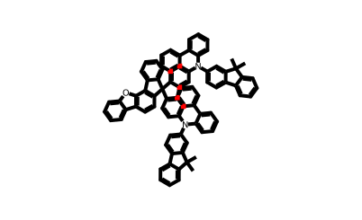 CC1(C)c2ccccc2-c2ccc(N(c3ccc4c(c3)-c3cc(N(c5ccc6c(c5)C(C)(C)c5ccccc5-6)c5ccccc5-c5ccccc5)ccc3C43c4ccccc4-c4c3ccc3c4oc4ccccc43)c3ccccc3-c3ccccc3)cc21